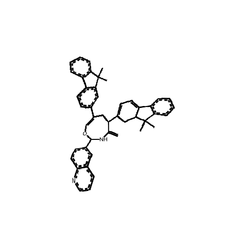 C=C1NC(c2ccc3ncccc3c2)O/C=C(/c2ccc3c(c2)C(C)(C)c2ccccc2-3)CC1C1=CC=C2c3ccccc3C(C)(C)C2C1